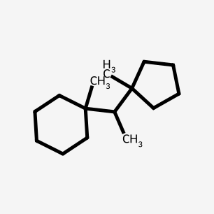 C[C](C1(C)CCCCC1)C1(C)CCCC1